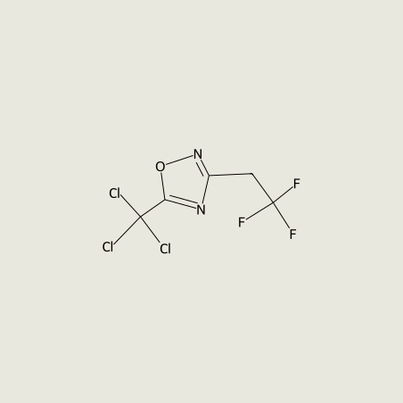 FC(F)(F)Cc1noc(C(Cl)(Cl)Cl)n1